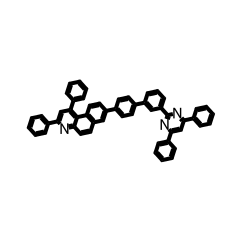 c1ccc(-c2cc(-c3ccccc3)nc(-c3cccc(-c4ccc(-c5ccc6c(ccc7nc(-c8ccccc8)cc(-c8ccccc8)c76)c5)cc4)c3)n2)cc1